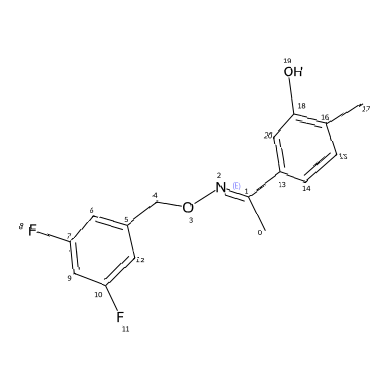 C/C(=N\OCc1cc(F)cc(F)c1)c1ccc(C)c(O)c1